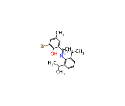 C/C(=N\c1c(C(C)C)cccc1C(C)C)c1cc(C)cc(Br)c1O